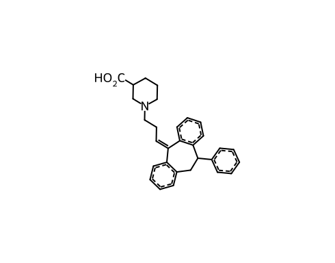 O=C(O)C1CCCN(CCC=C2c3ccccc3CC(c3ccccc3)c3ccccc32)C1